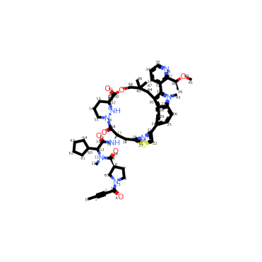 CC#CC(=O)N1CC[C@H](C(=O)N(C)C(C(=O)N[C@H]2Cc3nc(cs3)-c3ccc4c(c3)c(c(-c3cccnc3[C@H](C)OC)n4C)CC(C)(C)COC(=O)[C@@H]3CCCN(N3)C2=O)C2CCCC2)C1